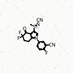 C/S(=N\C#N)c1cn(-c2ccc(F)c(C#N)c2)c2c1C(=O)C(F)(F)CC2